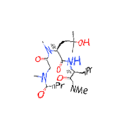 CCCC(=O)N(C)CC(=O)N(C)[C@@H](CC(C)(C)O)C(=O)N[C@H](C(=O)NC)C(C)C